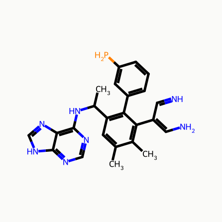 Cc1cc(C(C)Nc2ncnc3[nH]cnc23)c(-c2cccc(P)c2)c(/C(C=N)=C/N)c1C